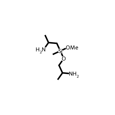 CO[Si](C)(CC(C)N)OCC(C)N